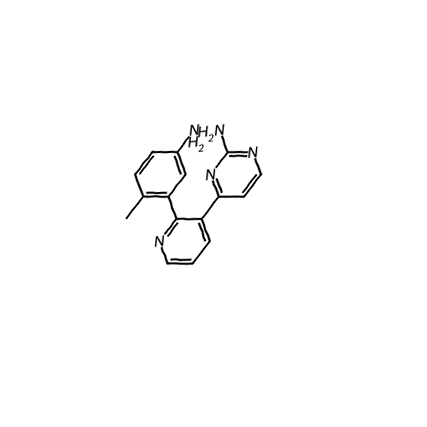 Cc1ccc(N)cc1-c1ncccc1-c1ccnc(N)n1